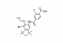 COCOc1c(NC(=O)c2ccc(C(=O)O)c(F)c2)cc2c(c1Br)C(C)(C)CCC2(C)C